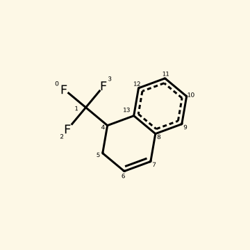 FC(F)(F)C1CC=Cc2ccccc21